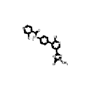 CCc1ncc(-c2nn(C)c(=O)o2)cc1-c1ccc(NC(=O)c2ccncc2C)cc1